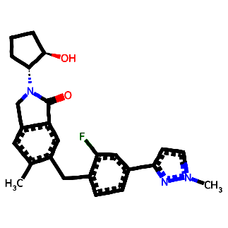 Cc1cc2c(cc1Cc1ccc(-c3ccn(C)n3)cc1F)C(=O)N([C@@H]1CCC[C@H]1O)C2